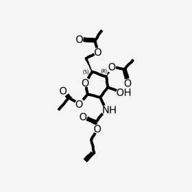 C=CCOC(=O)NC1C(OC(C)=O)O[C@@H](COC(C)=O)[C@H](OC(C)=O)C1O